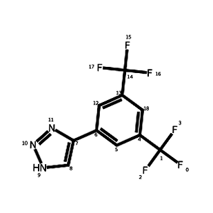 FC(F)(F)c1cc(-c2c[nH]nn2)cc(C(F)(F)F)c1